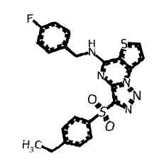 CCc1ccc(S(=O)(=O)c2nnn3c2nc(NCc2ccc(F)cc2)c2sccc23)cc1